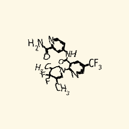 CC1CN(c2ncc(C(F)(F)F)cc2C(=O)Nc2ccnc(C(N)=O)c2)CC(C)C1(F)F